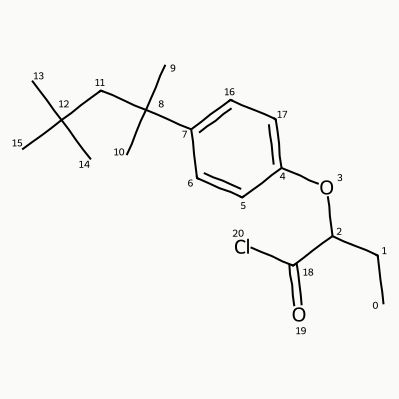 CCC(Oc1ccc(C(C)(C)CC(C)(C)C)cc1)C(=O)Cl